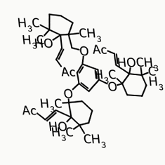 CC(=O)/C=C/C1(O)C(C)(C)CCCC1(C)COc1cc(OC2(C)CCCC(C)(C)C2(O)/C=C/C(C)=O)cc(OC2(C)CCCC(C)(C)C2(O)/C=C/C(C)=O)c1